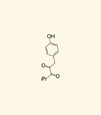 CC(C)C(=O)C(=O)Cc1ccc(O)cc1